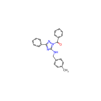 Cc1ccc(CNc2nc(-c3ccccc3)nn2C(=O)c2ccccc2)cc1